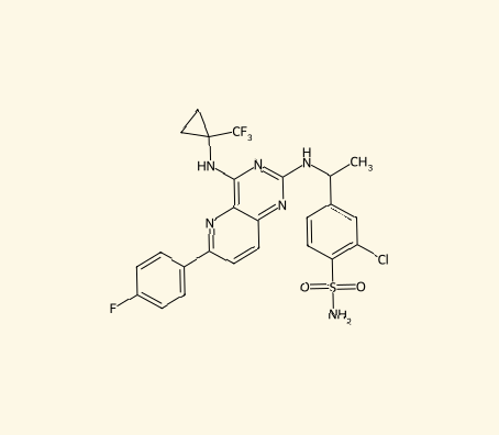 CC(Nc1nc(NC2(C(F)(F)F)CC2)c2nc(-c3ccc(F)cc3)ccc2n1)c1ccc(S(N)(=O)=O)c(Cl)c1